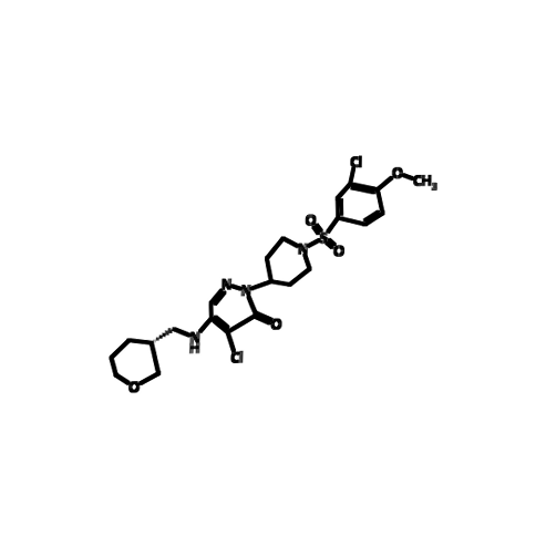 COc1ccc(S(=O)(=O)N2CCC(n3ncc(NC[C@H]4CCCOC4)c(Cl)c3=O)CC2)cc1Cl